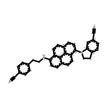 N#Cc1ccc(CCNc2ccc3ccc4c(N5CCc6ccc(C#N)cc65)ccc5ccc2c3c54)cc1